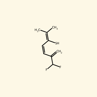 C=C(/C=C\C(S)=C(C)C)C(F)F